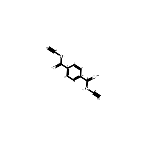 C#COC(=O)c1ccc(C(=O)OC#C)cc1